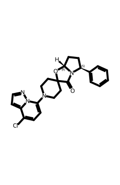 O=C1N2[C@@H](CC[C@H]2c2ccccc2)OC12CCN(c1ccc(Cl)c3ccnn13)CC2